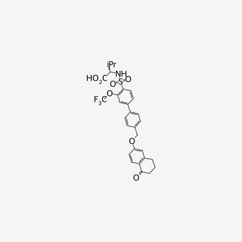 CC(C)[C@@H](NS(=O)(=O)c1ccc(-c2ccc(COc3ccc4c(c3)CCCC4=O)cc2)cc1OC(F)(F)F)C(=O)O